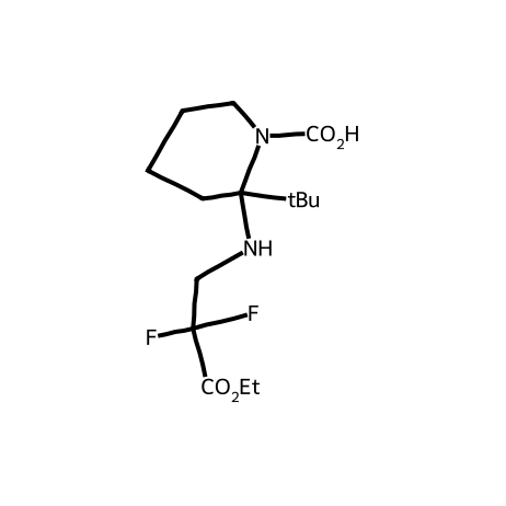 CCOC(=O)C(F)(F)CNC1(C(C)(C)C)CCCCN1C(=O)O